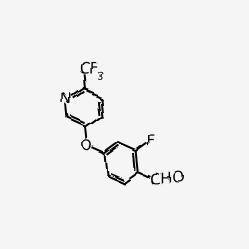 O=Cc1ccc(Oc2ccc(C(F)(F)F)nc2)cc1F